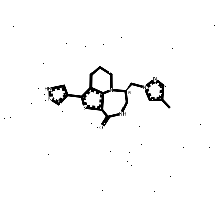 Cc1cnn(C[C@H]2CNC(=O)c3sc(-c4cn[nH]c4)c4c3N2CCC4)c1